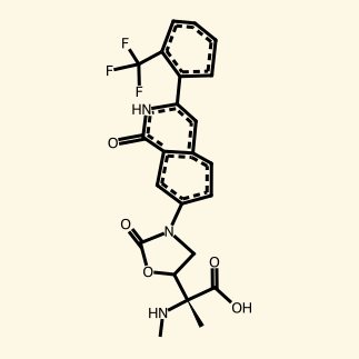 CN[C@@](C)(C(=O)O)C1CN(c2ccc3cc(-c4ccccc4C(F)(F)F)[nH]c(=O)c3c2)C(=O)O1